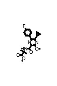 COC(=O)C(C)(C)NC(=O)c1nc(-c2ccc(F)cc2)c(C2CC2)nc1OC